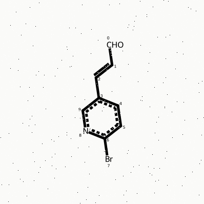 O=CC=Cc1ccc(Br)nc1